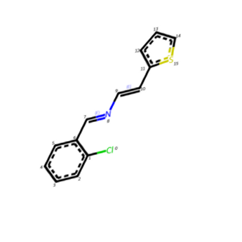 Clc1ccccc1/C=N/C=C/c1cccs1